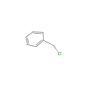 ClCc1c[c]c[c]c1